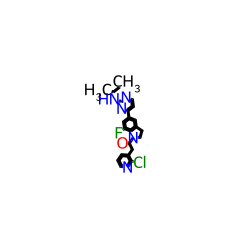 CCC(C)Nc1nccc(-c2cc(F)c3c(c2)CCN3C(=O)Cc2cccnc2Cl)n1